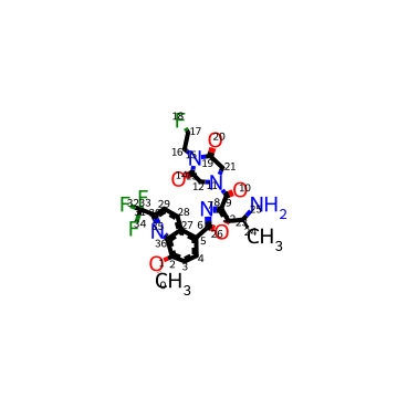 COc1ccc(-c2nc(C(=O)N3CC(=O)N(CCF)C(=O)C3)c([C@H](C)N)o2)c2ccc(C(F)(F)F)nc12